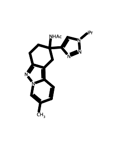 CC(=O)NC1(c2cn(C(C)C)nn2)CCc2nn3cc(C)ccc3c2C1